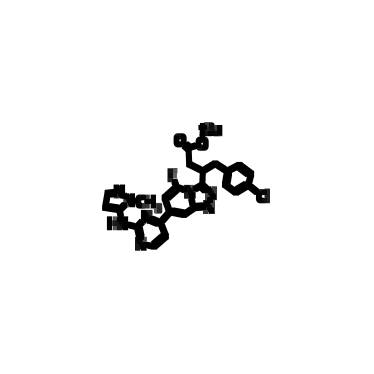 Cn1nccc1Nc1nccc(-c2cc(F)n3c(C(CC(=O)OC(C)(C)C)Cc4ccc(Cl)cc4)nnc3c2)n1